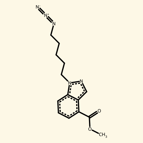 COC(=O)c1cccc2c1cnn2CCCCCN=[N+]=[N-]